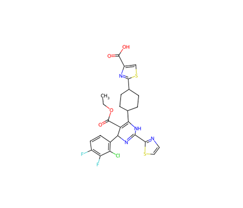 CCOC(=O)C1=C(C2CCC(c3nc(C(=O)O)cs3)CC2)NC(c2nccs2)=NC1c1ccc(F)c(F)c1Cl